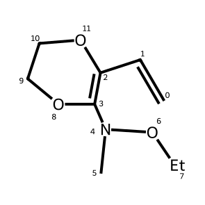 C=CC1=C(N(C)OCC)OCCO1